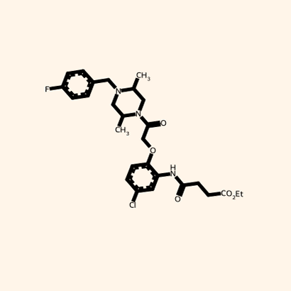 CCOC(=O)CCC(=O)Nc1cc(Cl)ccc1OCC(=O)N1CC(C)N(Cc2ccc(F)cc2)CC1C